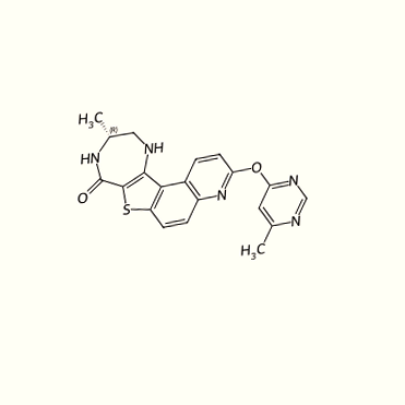 Cc1cc(Oc2ccc3c(ccc4sc5c(c43)NC[C@@H](C)NC5=O)n2)ncn1